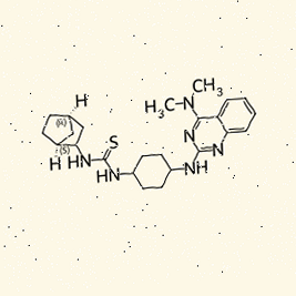 CN(C)c1nc(NC2CCC(NC(=S)NC3C[C@@H]4CC[C@H]3C4)CC2)nc2ccccc12